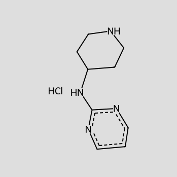 Cl.c1cnc(NC2CCNCC2)nc1